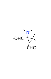 CN(C)C1([C]=O)C([C]=O)C1(C)C